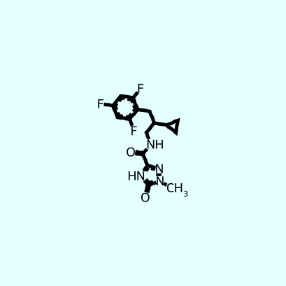 Cn1nc(C(=O)NCC(Cc2c(F)cc(F)cc2F)C2CC2)[nH]c1=O